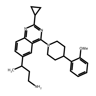 COc1ccccc1C1CCN(c2nc(C3CC3)nc3ccc(C(C)CCN)cc23)CC1